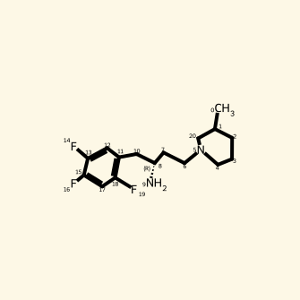 CC1CCCN(CC[C@H](N)Cc2cc(F)c(F)cc2F)C1